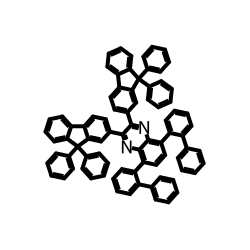 c1ccc(-c2ccccc2-c2ccc(-c3ccccc3-c3ccccc3)c3nc(-c4ccc5c(c4)C(c4ccccc4)(c4ccccc4)c4ccccc4-5)c(-c4ccc5c(c4)C(c4ccccc4)(c4ccccc4)c4ccccc4-5)nc23)cc1